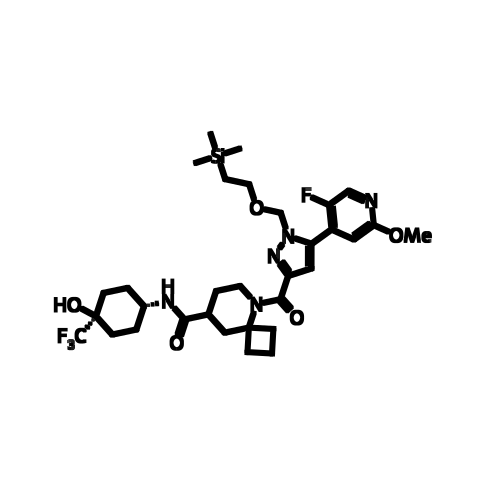 COc1cc(-c2cc(C(=O)N3CCC(C(=O)N[C@H]4CC[C@@](O)(C(F)(F)F)CC4)CC34CCC4)nn2COCC[Si](C)(C)C)c(F)cn1